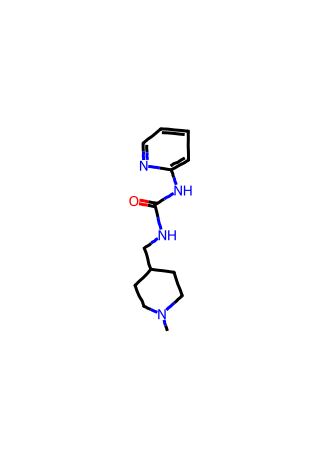 CN1CCC(CNC(=O)Nc2ccccn2)CC1